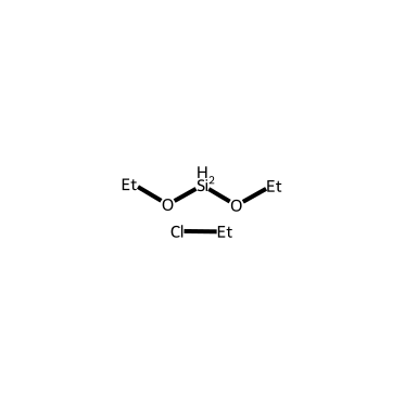 CCCl.CCO[SiH2]OCC